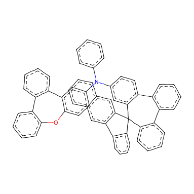 c1ccc(N(c2ccc3c(c2)-c2ccccc2-c2ccccc2O3)c2ccc3c(c2)C2(c4ccccc4-c4ccccc4-3)c3ccccc3-c3cc4ccccc4cc32)cc1